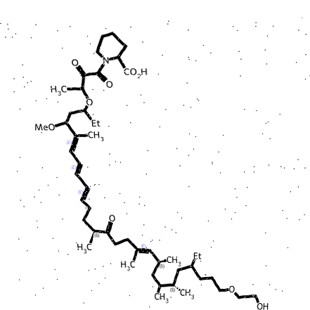 CCC(CCCOCCO)C[C@H](C)C(C)C[C@H](C)/C=C(\C)CCC(=O)[C@@H](C)CC/C=C/C=C/C=C(\C)C(CC(CC)OC(C)C(=O)C(=O)N1CCCCC1C(=O)O)OC